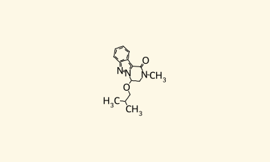 CC(C)COC1CN(C)C(=O)c2c3ccccc3nn21